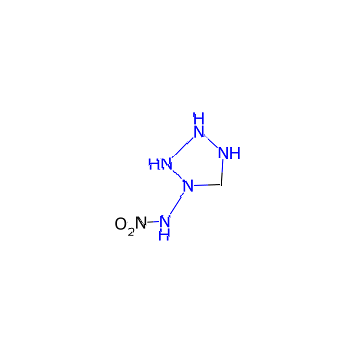 O=[N+]([O-])NN1CNNN1